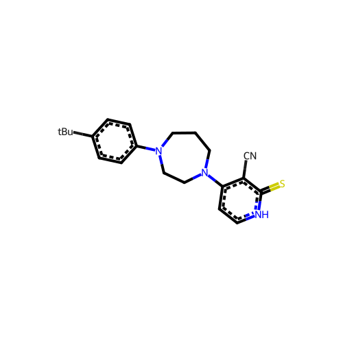 CC(C)(C)c1ccc(N2CCCN(c3cc[nH]c(=S)c3C#N)CC2)cc1